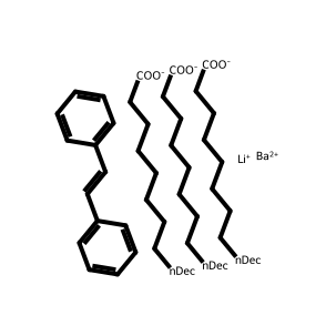 C(=Cc1ccccc1)c1ccccc1.CCCCCCCCCCCCCCCCCC(=O)[O-].CCCCCCCCCCCCCCCCCC(=O)[O-].CCCCCCCCCCCCCCCCCC(=O)[O-].[Ba+2].[Li+]